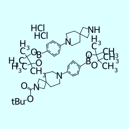 CC(C)(C)OC(=O)N1CC2(CCN(c3ccc(B4OC(C)(C)C(C)(C)O4)cc3)CC2)C1.CC1(C)OB(c2ccc(N3CCC4(CC3)CNC4)cc2)OC1(C)C.Cl.Cl